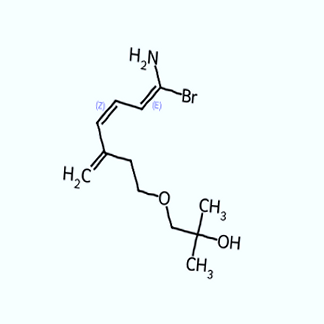 C=C(/C=C\C=C(/N)Br)CCOCC(C)(C)O